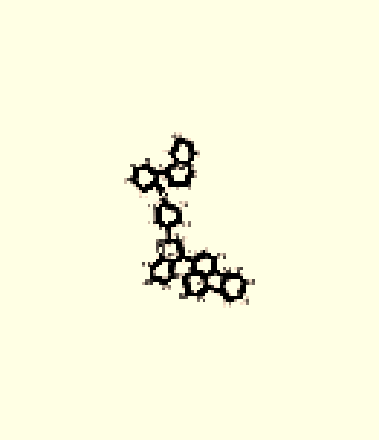 C1=CC2C=Cc3c(c4ccccc4n3-c3ccc(-c4cc(-c5ccc6c7c(cccc57)-c5ccccc5-6)c5ccccc5n4)cc3)C2C=C1